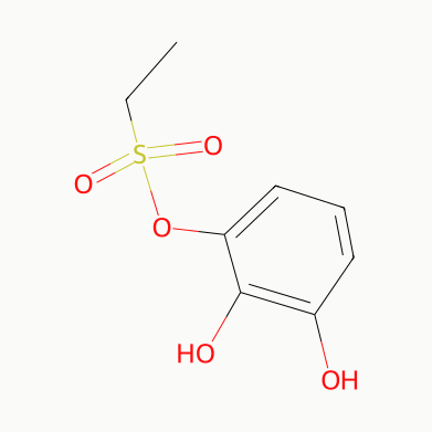 CCS(=O)(=O)Oc1cccc(O)c1O